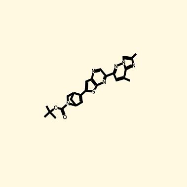 Cc1cn2nc(-c3cnc4cc(C5=CC6CC5CN6C(=O)OC(C)(C)C)sc4n3)cc(C)c2n1